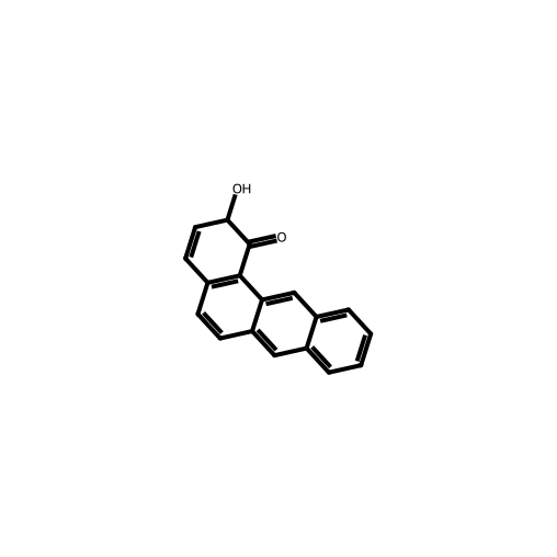 O=C1c2c(ccc3cc4ccccc4cc23)C=CC1O